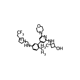 Cc1ccc(NCN2CC[C@@H](CC(F)(F)F)C2)cc1-c1cc(N[C@]2(C)C[C@@H](O)C2)nc(N2CCOCC2)c1